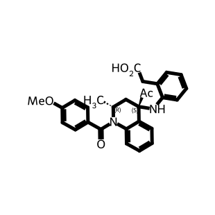 COc1ccc(C(=O)N2c3ccccc3[C@](Nc3ccccc3CC(=O)O)(C(C)=O)C[C@H]2C)cc1